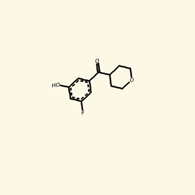 O=C(c1cc(O)cc(F)c1)C1CCOCC1